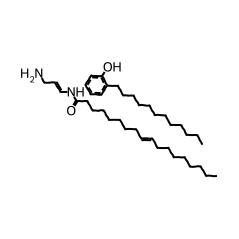 CCCCCCCCC=CCCCCCCCC(=O)NC=CCN.CCCCCCCCCCCCc1ccccc1O